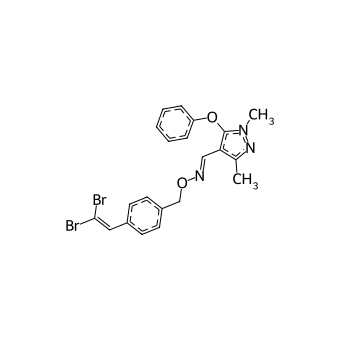 Cc1nn(C)c(Oc2ccccc2)c1C=NOCc1ccc(C=C(Br)Br)cc1